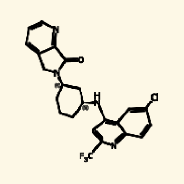 O=C1c2ncccc2CN1[C@@H]1CCC[C@H](Nc2cc(C(F)(F)F)nc3ccc(Cl)cc23)C1